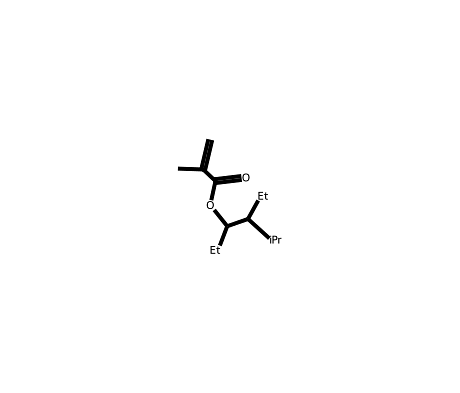 C=C(C)C(=O)OC(CC)C(CC)C(C)C